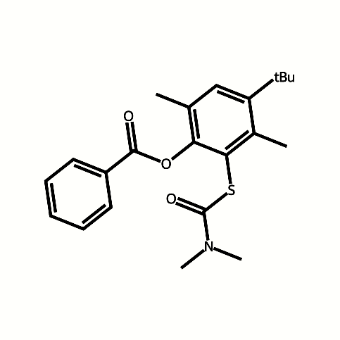 Cc1cc(C(C)(C)C)c(C)c(SC(=O)N(C)C)c1OC(=O)c1ccccc1